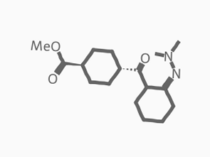 COC(=O)[C@H]1CC[C@H](C(=O)C2CCCC/C2=N/N(C)C)CC1